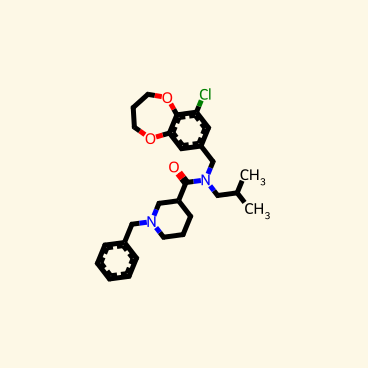 CC(C)CN(Cc1cc(Cl)c2c(c1)OCCCO2)C(=O)C1CCCN(Cc2ccccc2)C1